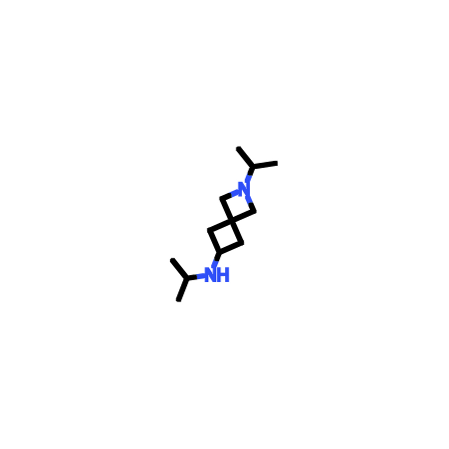 CC(C)NC1CC2(C1)CN(C(C)C)C2